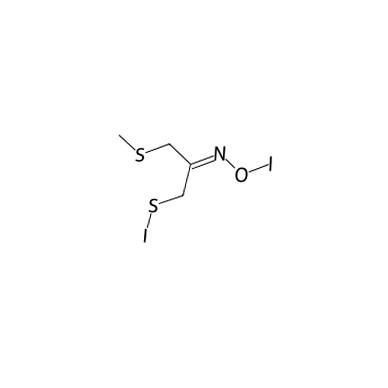 CSC/C(CSI)=N/OI